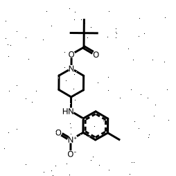 Cc1ccc(NC2CCN(OC(=O)C(C)(C)C)CC2)c([N+](=O)[O-])c1